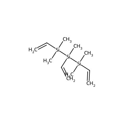 C=C[Si](C)(C)[Si](C)(C=C)[Si](C)(C)C=C